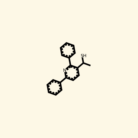 CC(S)c1ccc(-c2ccccc2)nc1-c1ccccc1